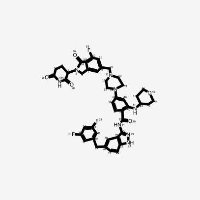 O=C1CCC(N2Cc3cc(CN4CCN(c5ccc(C(=O)Nc6n[nH]c7ccc(Cc8cc(F)cc(F)c8)cc67)c(NC6CCOCC6)c5)CC4)cc(F)c3C2=O)C(=O)N1